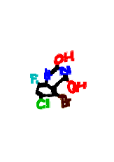 Oc1nc(O)c2c(Br)c(Cl)cc(F)c2n1